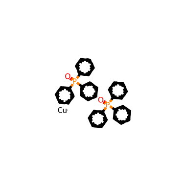 O=P(c1ccccc1)(c1ccccc1)c1ccccc1.O=P(c1ccccc1)(c1ccccc1)c1ccccc1.[Cu]